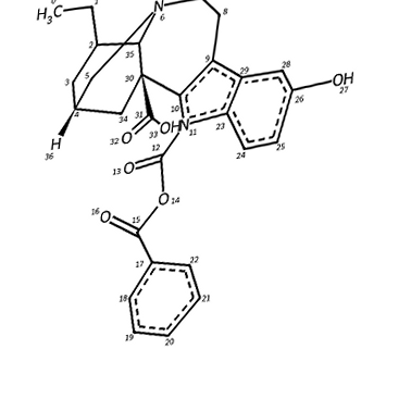 CCC1C[C@@H]2CN3CCc4c(n(C(=O)OC(=O)c5ccccc5)c5ccc(O)cc45)[C@](C(=O)O)(C2)C13